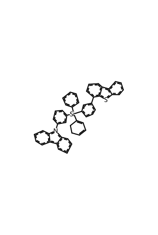 C1=CCCC([Si](c2ccccc2)(c2cccc(-c3cccc4c3sc3ccccc34)c2)c2cccc(-n3c4ccccc4c4ccccc43)c2)=C1